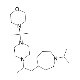 CC(C)N1CCCC(CC(C)N2CCN(C(C)(C)N3CCOCC3)CC2)CC1